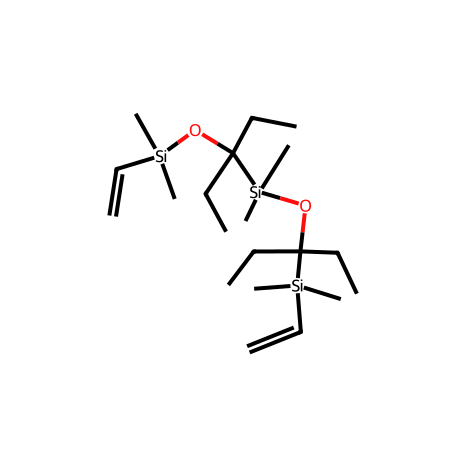 C=C[Si](C)(C)OC(CC)(CC)[Si](C)(C)OC(CC)(CC)[Si](C)(C)C=C